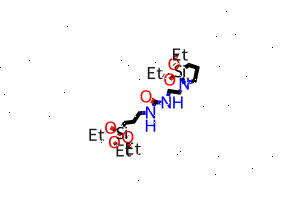 CCO[Si](CCCNC(=O)NCCN1CCC[Si]1(OCC)OCC)(OCC)OCC